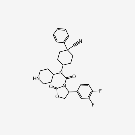 N#CC1(c2ccccc2)CCC(N(C(=O)N2C(=O)OCC2c2ccc(F)c(F)c2)C2CCNCC2)CC1